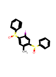 Cc1cc([S+]([O-])c2c#cccc2)c(I)cc1[S+]([O-])c1ccccc1